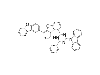 c1ccc(C2N=C(n3c4ccccc4c4ccccc43)N=C(c3cccc4oc5c(-c6ccc7oc8ccccc8c7c6)cccc5c34)N2)cc1